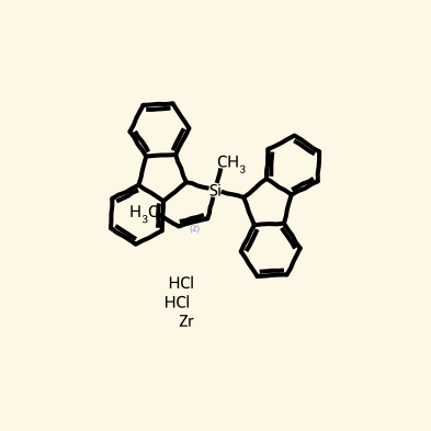 C/C=C\[Si](C)(C1c2ccccc2-c2ccccc21)C1c2ccccc2-c2ccccc21.Cl.Cl.[Zr]